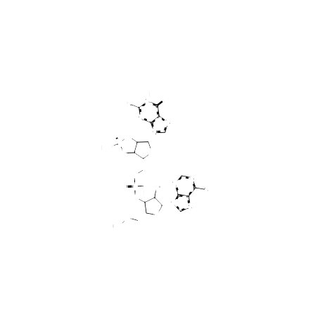 CCC(C)OC[C@H]1O[C@@H](n2cnc3c(N)ncnc32)C(O)C1OP(=O)(O)OC[C@H]1O[C@@H](n2cnc3c(=O)[nH]c(N)nc32)C2OP(=O)(O)OC21